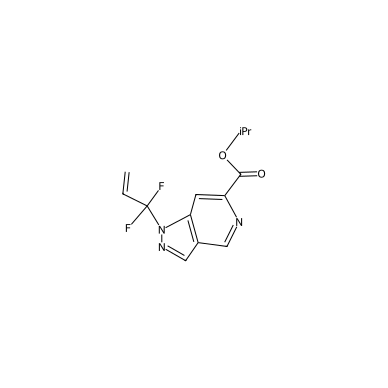 C=CC(F)(F)n1ncc2cnc(C(=O)OC(C)C)cc21